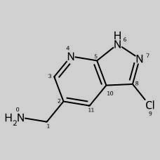 NCc1cnc2[nH]nc(Cl)c2c1